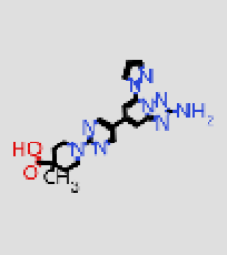 CC1(C(=O)O)CCN(c2ncc(-c3cc(-n4cccn4)n4nc(N)nc4c3)cn2)CC1